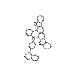 c1ccc(N(c2ccc(-c3cccc4ccccc34)cc2)c2cccc3c2sc2ccccc23)c(-c2cccc3c2oc2ccccc23)c1